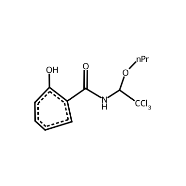 CCCOC(NC(=O)c1ccccc1O)C(Cl)(Cl)Cl